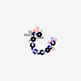 CC[C@]1(OC)C(=O)N(c2cccc(F)c2O)[C@H]1c1cc(F)c(N2CCC(CN3CCN(CC4CCN(c5ccc6c(c5)CN(C5CCC(=O)NC5=O)C6=O)CC4)CC3)CC2)cc1OC